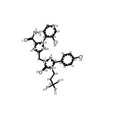 NC(=O)c1nc(Cn2nc(-c3ccc(Cl)cc3)n(CCC(F)(F)F)c2=O)nn1-c1ccncc1Cl